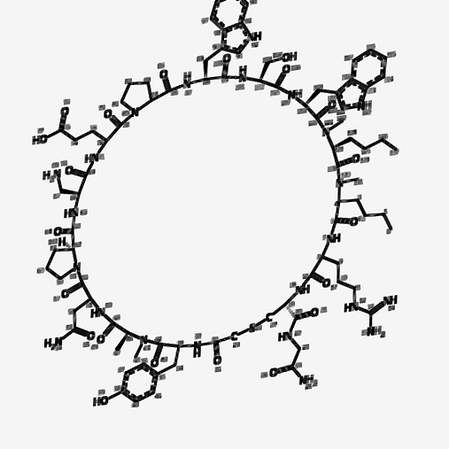 CCCCC1C(=O)NC(CCCNC(=N)N)C(=O)N[C@H](C(=O)NCC(N)=O)CSCC(=O)NC(Cc2ccc(O)cc2)C(=O)N(C)[C@@H](C)C(=O)NC(CC(N)=O)C(=O)N2CCC[C@H]2C(=O)N[C@@H](CN)C(=O)NC(CCC(=O)O)C(=O)N2CCCC2C(=O)N[C@@H](Cc2c[nH]c3ccccc23)C(=O)N[C@@H](CO)C(=O)N[C@@H](Cc2c[nH]c3ccccc23)C(=O)N(C)[C@@H](CCCC)C(=O)N1C